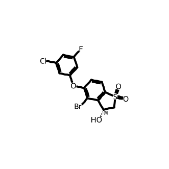 O=S1(=O)C[C@H](O)c2c1ccc(Oc1cc(F)cc(Cl)c1)c2Br